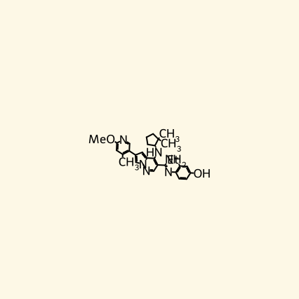 CCc1cc(O)ccc1/N=C(\N)c1cnn2cc(-c3cnc(OC)cc3C)cc2c1N[C@H]1CCCC1(C)C